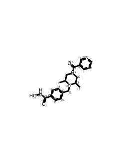 CC1CN(C(=O)c2cccnc2)CC(C)N1Cc1ccc(C(=O)NO)cc1